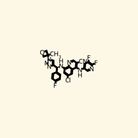 CC1(n2cc([C@@H](Nc3cc(Cl)cc4c(Nc5cnc(F)c(F)c5)c(C#N)cnc34)c3ccc(F)cc3)nn2)COC1